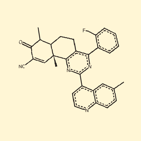 Cc1ccc2nccc(-c3nc(-c4ccccc4F)c4c(n3)[C@]3(C)C=C(C#N)C(=O)C(C)C3CC4)c2c1